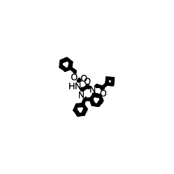 O=C(NC1N=C(c2ccccc2)c2ccccc2N(CC(=O)C2CCC2)C1=O)OCc1ccccc1